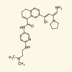 CC/C(=C\C(=C/N)N1CCCC1)c1ccc2c(c1)C(C(=O)Nc1ccc(NCCN(C)C)nc1)=CCC2